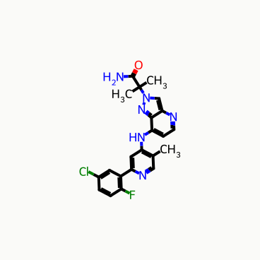 Cc1cnc(-c2cc(Cl)ccc2F)cc1Nc1ccnc2cn(C(C)(C)C(N)=O)nc12